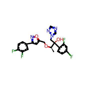 C[C@@H](OCc1cc(-c2ccc(F)c(F)c2)no1)[C@](O)(Cn1cncn1)c1ccc(F)cc1F